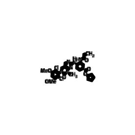 C=CC(=O)N[C@H]1C[C@H](C(=O)OC2CCCC2)CC[C@H]1Nc1ncc2c(n1)N(C)C(=O)N(c1c(Cl)c(OC)cc(OC)c1Cl)C2